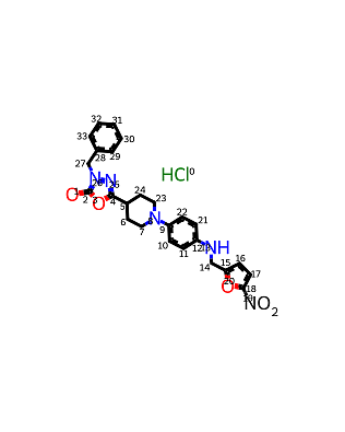 Cl.O=c1oc(C2CCN(c3ccc(NCc4ccc([N+](=O)[O-])o4)cc3)CC2)nn1Cc1ccccc1